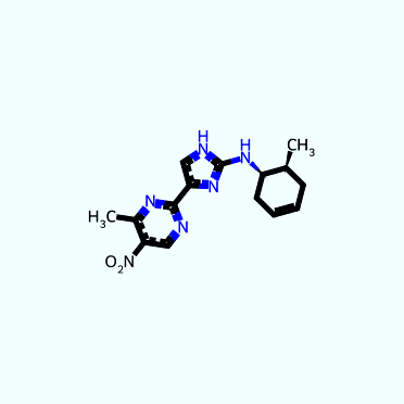 Cc1nc(-c2c[nH]c(N[C@@H]3CC=CC[C@@H]3C)n2)ncc1[N+](=O)[O-]